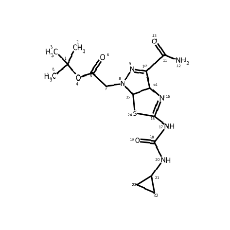 CC(C)(C)OC(=O)CN1N=C(C(N)=O)C2N=C(NC(=O)NC3CC3)SC21